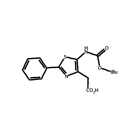 CC(C)(C)OC(=O)Nc1sc(-c2ccccc2)nc1CC(=O)O